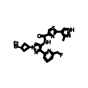 CCO[C@H]1C[C@@H](n2cc(NC(=O)c3csc(-c4c[nH]nc4C)n3)c(-c3cccc(CF)n3)n2)C1